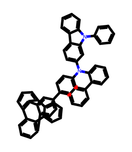 c1ccc(-c2ccccc2N(c2ccc(-c3ccc4c(c3)-c3c5cccc3-c3cccc-4c3-c3ccccc3-5)cc2)c2ccc3c4ccccc4n(-c4ccccc4)c3c2)cc1